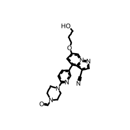 N#Cc1cnn2cc(OCCCO)cc(-c3ccc(N4CCN(C=O)CC4)nc3)c12